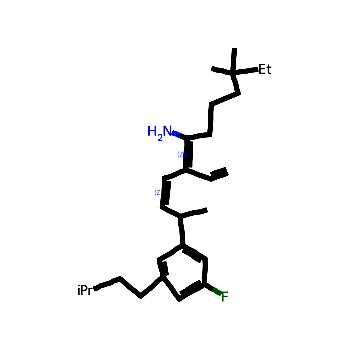 C=CC(/C=C\C(C)c1cc(F)cc(CCC(C)C)c1)=C(/N)CCCC(C)(C)CC